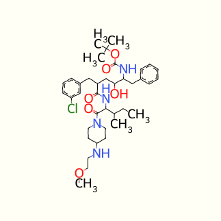 CCC(C)C(NC(=O)C(Cc1cccc(Cl)c1)CC(O)C(Cc1ccccc1)NC(=O)OC(C)(C)C)C(=O)N1CCC(NCCOC)CC1